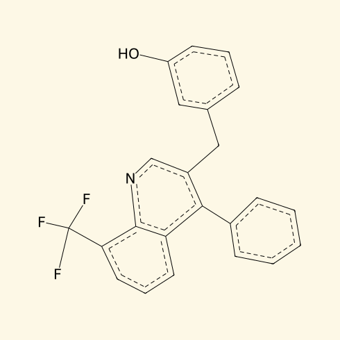 Oc1cccc(Cc2cnc3c(C(F)(F)F)cccc3c2-c2ccccc2)c1